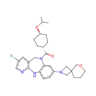 CC(C)O[C@H]1CC[C@H](C(=O)N2Cc3cc(F)cnc3Nc3ccc(N4CC5(CCCOC5)C4)cc32)CC1